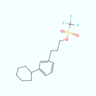 O=S(=O)(OCCCc1cccc(C2CCCCC2)c1)C(F)(F)F